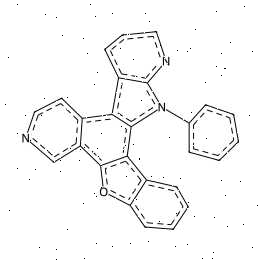 c1ccc(-n2c3ncccc3c3c4ccncc4c4oc5ccccc5c4c32)cc1